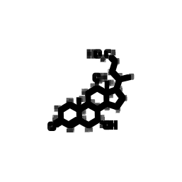 CC(CCC(=O)O)C1CCC2C3C(C[C@H](O)[C@]12C)[C@@]1(C)CCC(=O)C=C1C[C@H]3O